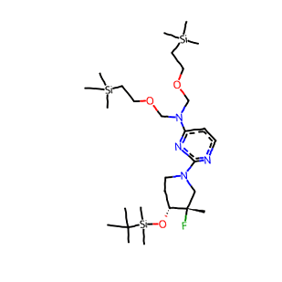 CC(C)(C)[Si](C)(C)O[C@@H]1CCN(c2nccc(N(COCC[Si](C)(C)C)COCC[Si](C)(C)C)n2)C[C@]1(C)F